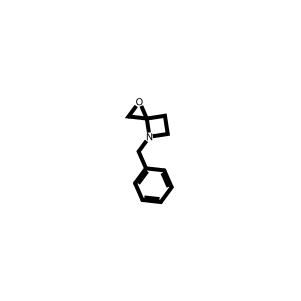 c1ccc(CN2CCC23CO3)cc1